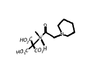 C[N+](C)(C(=O)CN1CCCCC1)C(C(=O)O)(C(=O)O)C(=O)O